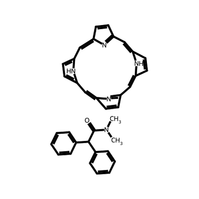 C1=Cc2cc3ccc(cc4nc(cc5ccc(cc1n2)[nH]5)C=C4)[nH]3.CN(C)C(=O)C(c1ccccc1)c1ccccc1